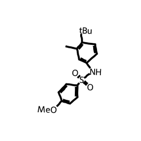 COc1ccc(S(=O)(=O)Nc2ccc(C(C)(C)C)c(C)c2)cc1